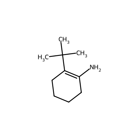 CC(C)(C)C1=C(N)CCCC1